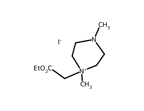 CCOC(=O)C[N+]1(C)CCN(C)CC1.[I-]